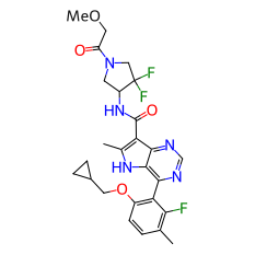 COCC(=O)N1CC(NC(=O)c2c(C)[nH]c3c(-c4c(OCC5CC5)ccc(C)c4F)ncnc23)C(F)(F)C1